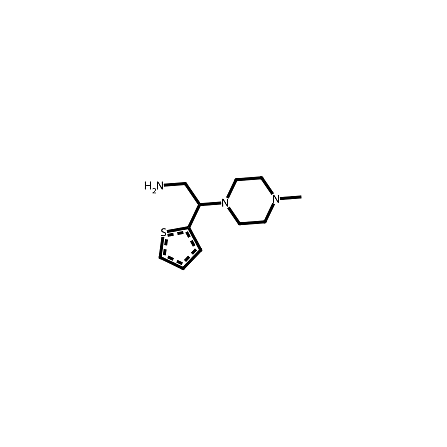 CN1CCN(C(CN)c2cccs2)CC1